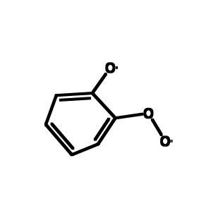 [O]Oc1ccccc1[O]